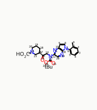 Cc1ccccc1-n1ccc2nc(N(CC(=O)[C@@H]3CCCN(C(=O)O)C3)C(=O)OC(C)(C)C)cnc21